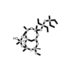 CC[Si](C)(CC)O[Si](CC)(CC)O[Si]1(C)O[Si]2(C)C[Si@]3(C)O[Si](C)(O[Si](C)(O)O[Si](C)(O3)O[Si@@](C)(OC)O2)O1